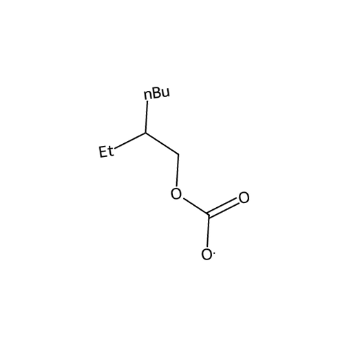 CCCCC(CC)COC([O])=O